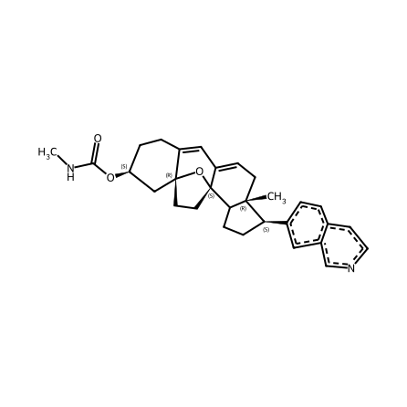 CNC(=O)O[C@H]1CCC2=CC3=CC[C@@]4(C)C(CC[C@@H]4c4ccc5ccncc5c4)[C@@]34CC[C@]2(C1)O4